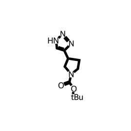 CC(C)(C)OC(=O)N1CCC(c2c[nH]nn2)C1